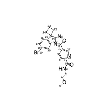 COCCNC(=O)c1ccc(-c2nc(C3(c4ccc(Br)cc4)CCC3)no2)cn1